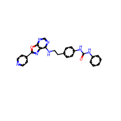 O=C(Nc1ccccc1)Nc1ccc(CCNc2ncnc3oc(-c4ccncc4)nc23)cc1